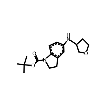 CC(C)(C)OC(=O)N1CCc2cc(NC3CCOC3)ccc21